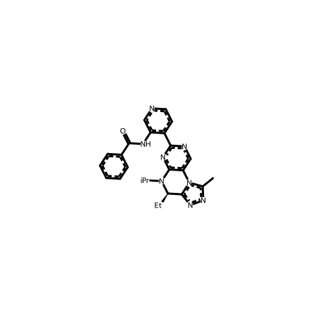 CC[C@@H]1c2nnc(C)n2-c2cnc(-c3ccncc3NC(=O)c3ccccc3)nc2N1C(C)C